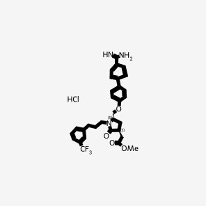 COC(=O)C[C@@H]1C[C@@H](COc2ccc(-c3ccc(C(=N)N)cc3)cc2)N(CCCc2cccc(C(F)(F)F)c2)C1=O.Cl